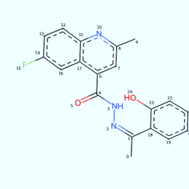 CC(=NNC(=O)c1cc(C)nc2ccc(F)cc12)c1ccccc1O